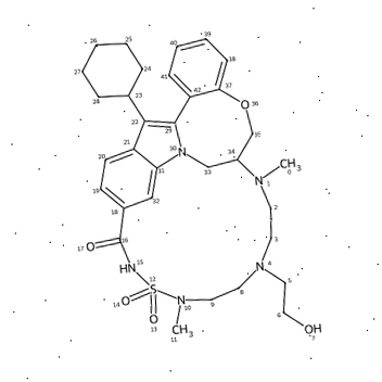 CN1CCN(CCO)CCN(C)S(=O)(=O)NC(=O)c2ccc3c(C4CCCCC4)c4n(c3c2)CC1COc1ccccc1-4